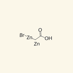 O=C(O)[CH2][Zn][Br].[Zn]